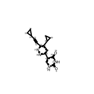 O=c1[nH]cc(-c2cc(C3CC3)c(C#CC3CC3)nn2)c(=O)[nH]1